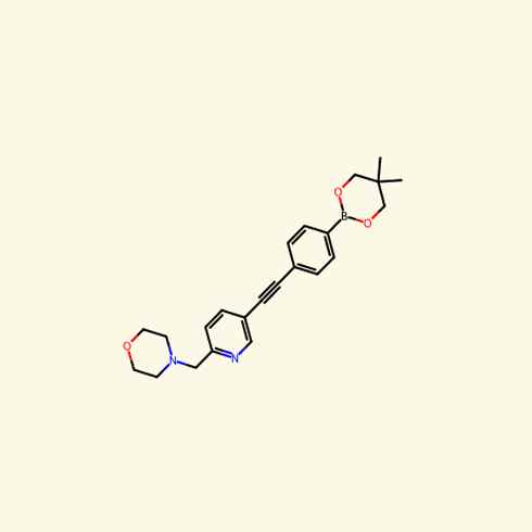 CC1(C)COB(c2ccc(C#Cc3ccc(CN4CCOCC4)nc3)cc2)OC1